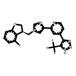 Fc1cccc2c1[C@H](Cn1cnc(-c3cc(-c4nn[nH]c4C(F)(F)F)ccn3)c1)CO2